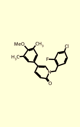 COc1c(C)cc(-c2ccc(=O)n(Cc3ccc(Cl)cc3F)c2)cc1C